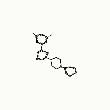 Cc1cc(C)cc(-c2cncc(N3CCN(c4ccncc4)CC3)n2)c1